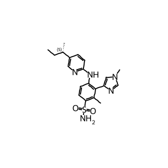 CC[C@H](C)c1ccc(Nc2ccc(S(N)(=O)=O)c(C)c2-c2cn(C)cn2)nc1